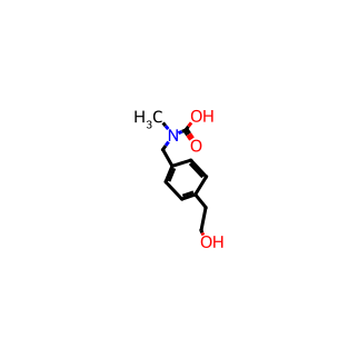 CN(Cc1ccc(CCO)cc1)C(=O)O